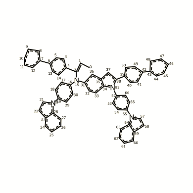 C/C=C(/c1ccc(-c2ccccc2)cc1)N(c1ccc(-n2ccc3ccccc32)cc1)c1ccc2c(c1)cc(-c1ccc(-c3ccccc3)cc1)n2-c1ccc(-n2ccc3ccccc32)cc1